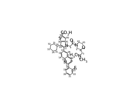 CN(C)CC1CN(C(=O)Cn2c(-c3ccc4nc(-c5ccccc5F)ccc4c3)c(C3CCCCC3)c3sc(C(=O)O)cc32)CCO1